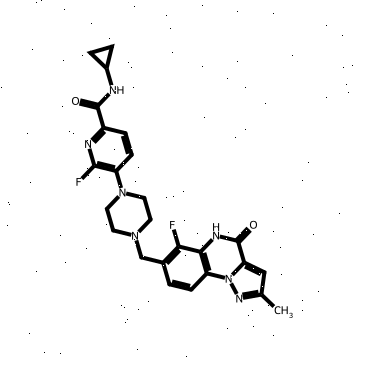 Cc1cc2c(=O)[nH]c3c(F)c(CN4CCN(c5ccc(C(=O)NC6CC6)nc5F)CC4)ccc3n2n1